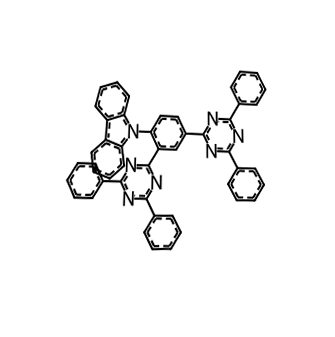 c1ccc(-c2nc(-c3ccccc3)nc(-c3ccc(-n4c5ccccc5c5ccccc54)c(-c4nc(-c5ccccc5)nc(-c5ccccc5)n4)c3)n2)cc1